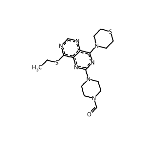 CCSc1ncnc2c(N3CCSCC3)nc(N3CCN(C=O)CC3)nc12